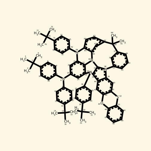 CC(C)(C)c1ccc(N(c2ccc(C(C)(C)C)cc2)c2cc3c4c(c2)N(c2ccc(C(C)(C)C)cc2)c2c5n(c6cc7c(cc26)Oc2ccccc2S7)-c2cccc(c2)C(C)(C)c2ccc(c(c2)B45)N3c2ccc(C(C)(C)C)cc2)cc1